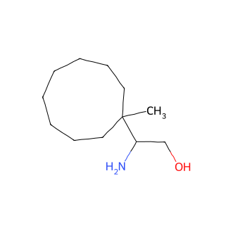 CC1(C(N)CO)CCCCCCCC1